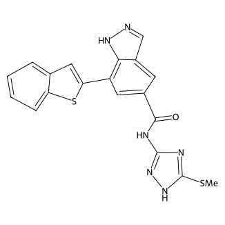 CSc1nc(NC(=O)c2cc(-c3cc4ccccc4s3)c3[nH]ncc3c2)n[nH]1